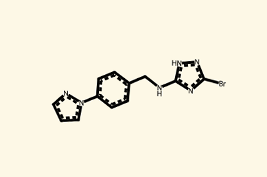 Brc1n[nH]c(NCc2ccc(-n3cccn3)cc2)n1